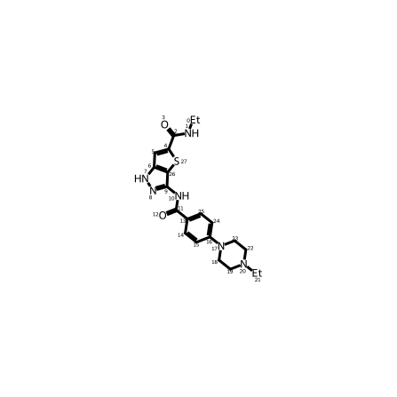 CCNC(=O)c1cc2[nH]nc(NC(=O)c3ccc(N4CCN(CC)CC4)cc3)c2s1